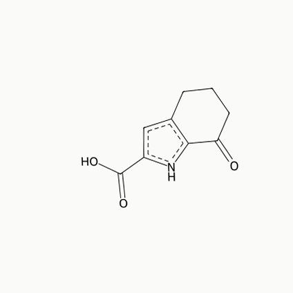 O=C(O)c1cc2c([nH]1)C(=O)CCC2